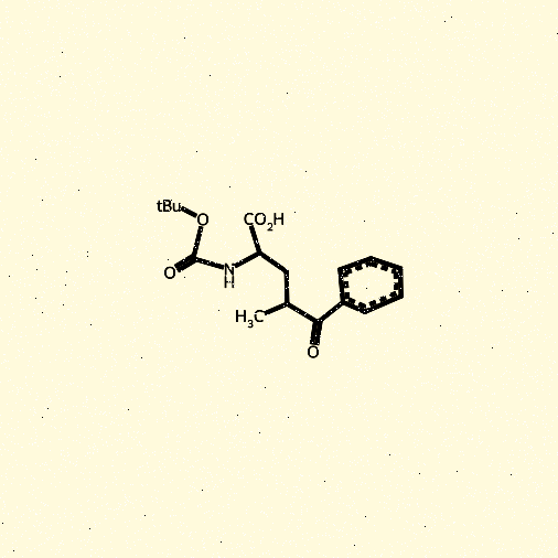 CC(CC(NC(=O)OC(C)(C)C)C(=O)O)C(=O)c1ccccc1